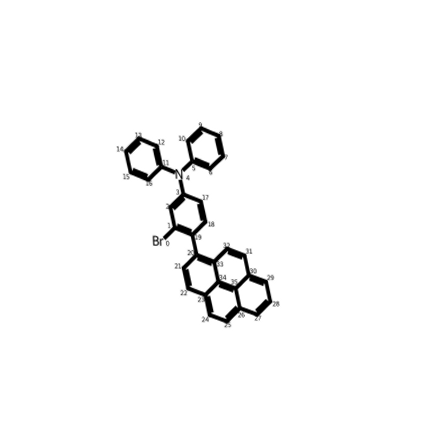 Brc1cc(N(c2ccccc2)c2ccccc2)ccc1-c1ccc2ccc3cccc4ccc1c2c34